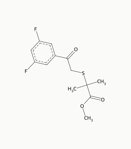 COC(=O)C(C)(C)SCC(=O)c1cc(F)cc(F)c1